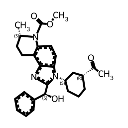 COC(=O)N1c2ccc3c(nc([C@@H](O)c4ccccc4)n3[C@H]3CCC[C@@H](C(C)=O)C3)c2CC[C@@H]1C